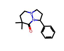 CC1(C)CCN2CCC(c3ccccc3)N2C1=O